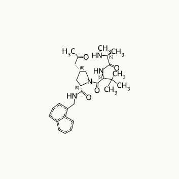 CN[C@@H](C)C(=O)N[C@H](C(=O)N1C[C@@H](CC(C)=O)C[C@H]1C(=O)NCc1cccc2ccccc12)C(C)(C)C